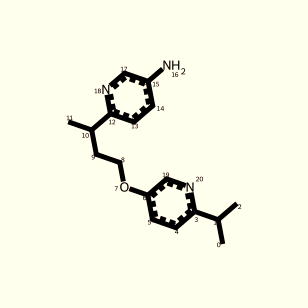 CC(C)c1ccc(OCCC(C)c2ccc(N)cn2)cn1